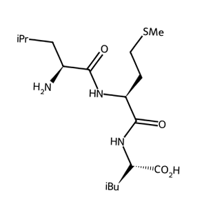 CC[C@H](C)[C@H](NC(=O)[C@H](CCSC)NC(=O)[C@@H](N)CC(C)C)C(=O)O